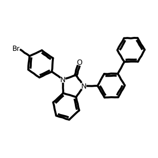 O=c1n(-c2ccc(Br)cc2)c2ccccc2n1-c1cccc(-c2ccccc2)c1